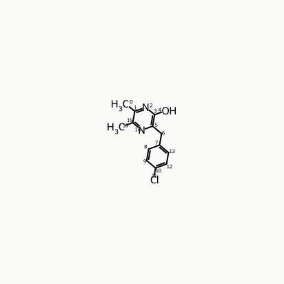 Cc1nc(O)c(Cc2ccc(Cl)cc2)nc1C